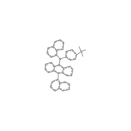 C[Si](C)(C)c1ccc(N(c2cccc3ccccc23)c2c3ccccc3c(-c3cccc4ccccc34)c3ccccc23)cc1